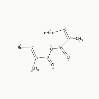 CCCCCCC=C(C)C(=O)OC(=O)C(C)=CC(C)(C)C